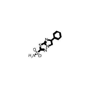 NS(=O)(=O)C1=NN2CC(c3ccccc3)N=C2S1